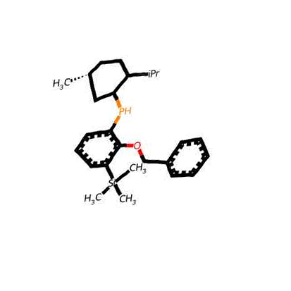 CC(C)C1CC[C@@H](C)CC1Pc1cccc([Si](C)(C)C)c1OCc1ccccc1